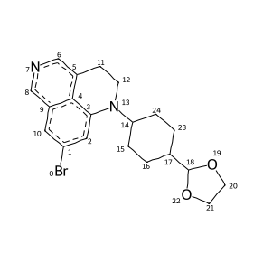 Brc1cc2c3c(cncc3c1)CCN2C1CCC(C2OCCO2)CC1